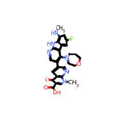 CNc1cc(F)cc2c1[nH]c1ncc(-c3cnc4c(c3)c(=O)c(C(=O)O)cn4C)c(N3CCCOCC3)c12